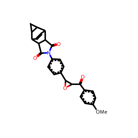 COc1ccc(C(=O)C2OC2c2ccc(N3C(=O)C4C5C=CC(C6CC56)C4C3=O)cc2)cc1